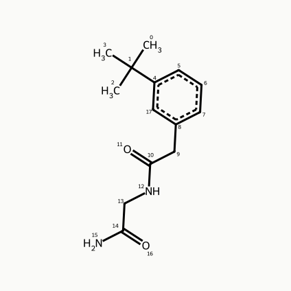 CC(C)(C)c1cccc(CC(=O)NCC(N)=O)c1